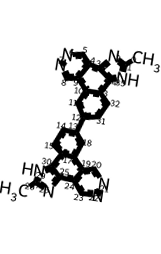 Cc1nc2c3cnncc3c3cc(-c4ccc5c(c4)c4cnncc4c4nc(C)[nH]c54)ccc3c2[nH]1